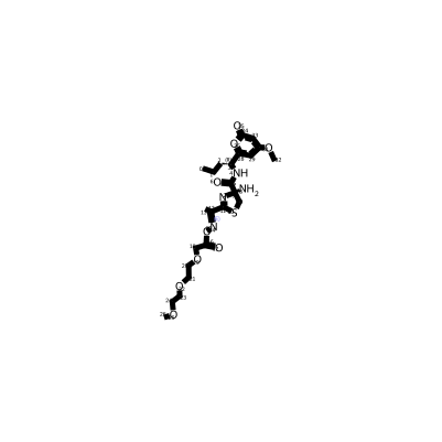 CCC[C@@H](NC(=O)[C@]1(N)CSC(/C(C)=N/OC(=O)COCCOCCOC)=N1)c1cc(OC)cc(=O)o1